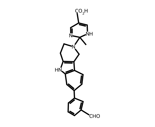 CC1(N2CCc3[nH]c4cc(-c5cccc(C=O)c5)ccc4c3C2)N=CC(C(=O)O)=CN1